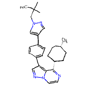 CC(C)(C#N)Cn1cc(-c2ccc(-c3cnn4ccnc([C@H]5CC[C@@H](C#N)CC5)c34)cc2)cn1